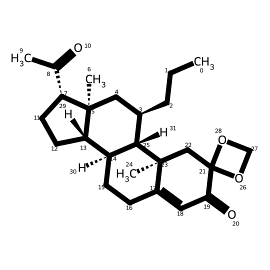 CCC[C@@H]1C[C@]2(C)[C@@H](C(C)=O)CC[C@H]2[C@@H]2CCC3=CC(=O)C4(C[C@]3(C)[C@@H]12)OCO4